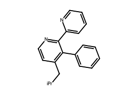 CC(C)Cc1ccnc(-c2ccccn2)c1-c1ccccc1